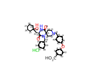 Cl.O=C(O)c1ccc(Oc2ccc(CN3CCC4(CC3)C(=O)N[C@H](CC3(O)CCCCC3)C(=O)N4Cc3ccccc3)cc2)cc1